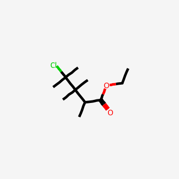 CCOC(=O)C(C)C(C)(C)C(C)(C)Cl